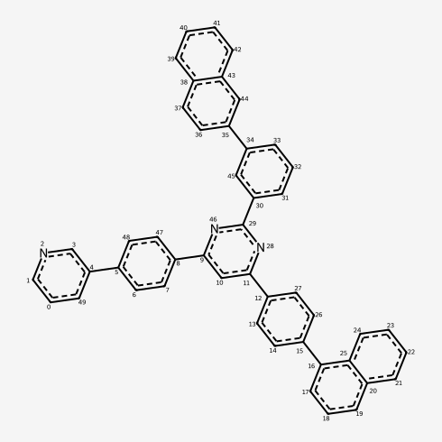 c1cncc(-c2ccc(-c3cc(-c4ccc(-c5cccc6ccccc56)cc4)nc(-c4cccc(-c5ccc6ccccc6c5)c4)n3)cc2)c1